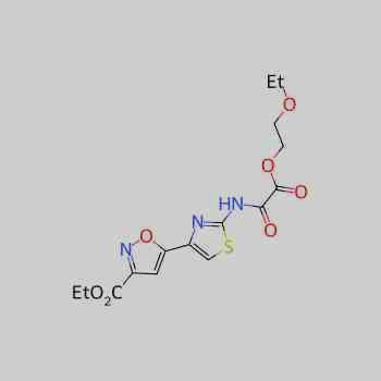 CCOCCOC(=O)C(=O)Nc1nc(-c2cc(C(=O)OCC)no2)cs1